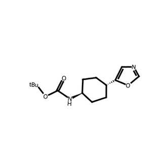 CC(C)(C)OC(=O)N[C@H]1CC[C@H](c2cnco2)CC1